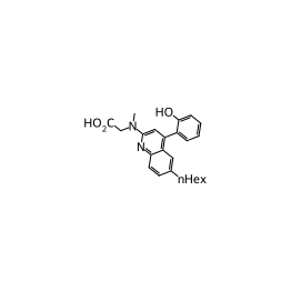 CCCCCCc1ccc2nc(N(C)CC(=O)O)cc(-c3ccccc3O)c2c1